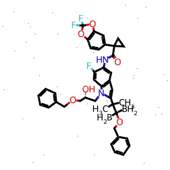 BC(B)(OCc1ccccc1)C(C)(C)c1cc2cc(NC(=O)C3(c4ccc5c(c4)OC(F)(F)O5)CC3)c(F)cc2n1C[C@@H](O)COCc1ccccc1